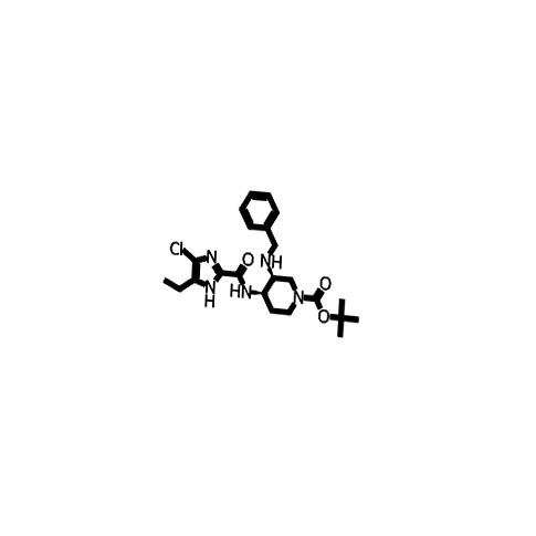 CCc1[nH]c(C(=O)N[C@@H]2CCN(C(=O)OC(C)(C)C)C[C@@H]2NCc2ccccc2)nc1Cl